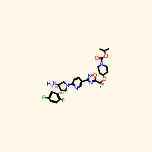 CC(C)OC(=O)N1CCC(O[C@H](C)c2nc(-c3ccc(N4C[C@H](c5cc(F)ccc5F)[C@@H](N)C4)nc3)no2)CC1